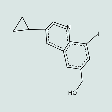 OCc1cc(I)c2ncc(C3CC3)cc2c1